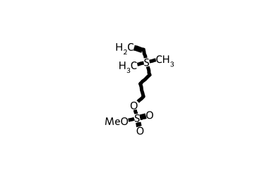 C=CS(C)(C)CCCOS(=O)(=O)OC